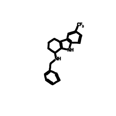 FC(F)(F)c1ccc2[nH]c3c(c2c1)CCCC3NCc1ccccc1